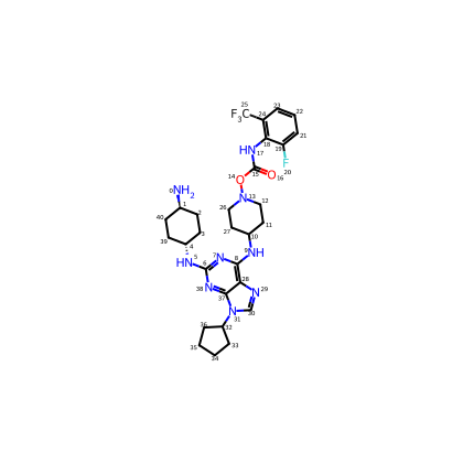 N[C@H]1CC[C@H](Nc2nc(NC3CCN(OC(=O)Nc4c(F)cccc4C(F)(F)F)CC3)c3ncn(C4CCCC4)c3n2)CC1